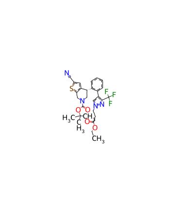 CCOC(=O)CCn1cc(-c2ccccc2[C@@H]2CN(C(=O)OC(C)(C)C)Cc3sc(C#N)cc32)c(C(F)(F)F)n1